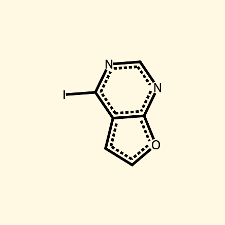 Ic1ncnc2occc12